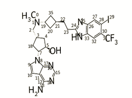 CN(C[C@@H]1C[C@@H](O)[C@H](n2ccc3c(N)ncnc32)C1)[C@H]1C[C@H](CCc2nc3cc(I)c(C(F)(F)F)cc3[nH]2)C1